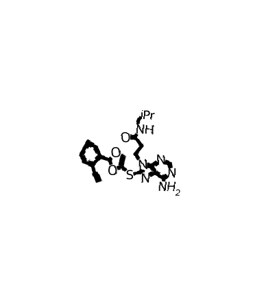 C#Cc1ccccc1C1OC=C(Sc2nc3c(N)ncnc3n2CCC(=O)NCC(C)C)O1